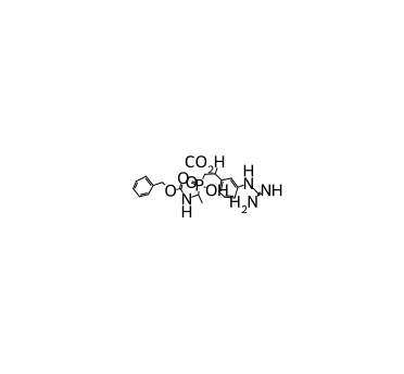 CC(NC(=O)OCc1ccccc1)P(=O)(O)CC(C(=O)O)c1cccc(NC(=N)N)c1